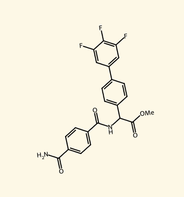 COC(=O)C(NC(=O)c1ccc(C(N)=O)cc1)c1ccc(-c2cc(F)c(F)c(F)c2)cc1